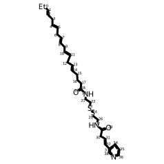 CCC=CCC=CCC=CCC=CCC=CCCCC(=O)NCCSSCCNC(=O)CC=Cc1cccnc1